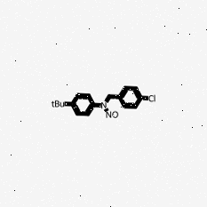 CC(C)(C)c1ccc(N(Cc2ccc(Cl)cc2)N=O)cc1